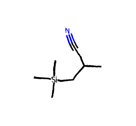 CC(C#N)C[Si](C)(C)C